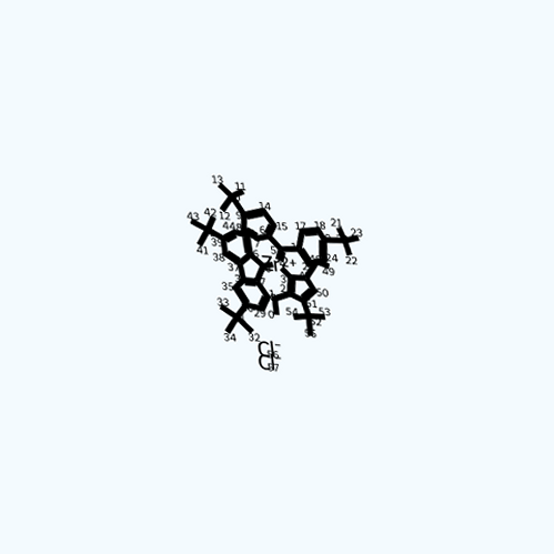 CCC1=[C]([Zr+2](=[C](c2ccc(C(C)(C)C)cc2)c2ccc(C(C)(C)C)cc2)[CH]2c3ccc(C(C)(C)C)cc3-c3cc(C(C)(C)C)ccc32)C(CC)C=C1C(C)(C)C.[Cl-].[Cl-]